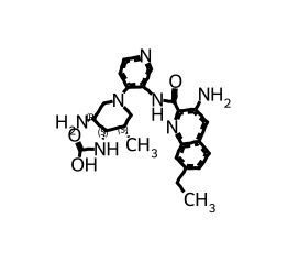 CCc1ccc2cc(N)c(C(=O)Nc3cnccc3N3C[C@@H](N)[C@@H](NC(=O)O)[C@@H](C)C3)nc2c1